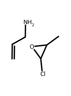 C=CCN.CC1OC1Cl